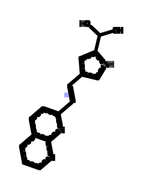 OC(O)c1cc(/C=C/c2ccc3cccnc3n2)c[nH]1